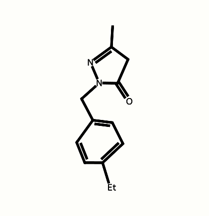 CCc1ccc(CN2N=C(C)CC2=O)cc1